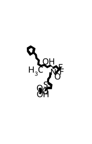 C[C@H](CCCCc1ccccc1)[C@H](O)CC[C@H]1CC(F)(F)C(=O)N1CCCc1ccc(OC(=O)O)s1